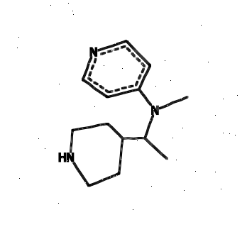 CC(C1CCNCC1)N(C)c1ccncc1